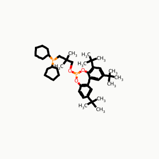 CC(C)(COp1oc2ccc(C(C)(C)C)cc2c2cc(C(C)(C)C)cc(C(C)(C)C)c2o1)CP(C1CCCCC1)C1CCCCC1